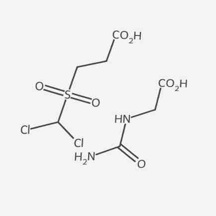 NC(=O)NCC(=O)O.O=C(O)CCS(=O)(=O)C(Cl)Cl